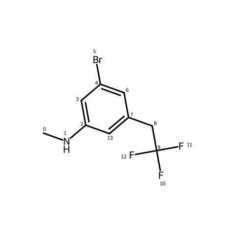 CNc1cc(Br)cc(CC(F)(F)F)c1